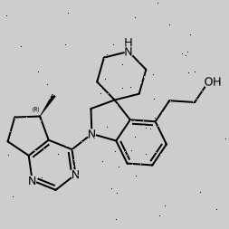 C[C@@H]1CCc2ncnc(N3CC4(CCNCC4)c4c(CCO)cccc43)c21